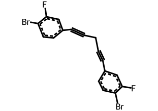 Fc1cc(C#CCC#Cc2ccc(Br)c(F)c2)ccc1Br